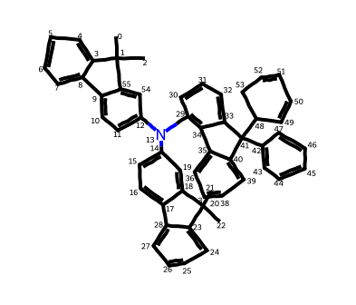 CC1(C)c2ccccc2-c2ccc(N(c3ccc4c(c3)C(C)(C)c3ccccc3-4)c3cccc4c3-c3ccccc3C4(c3ccccc3)C3C=CC=CC3)cc21